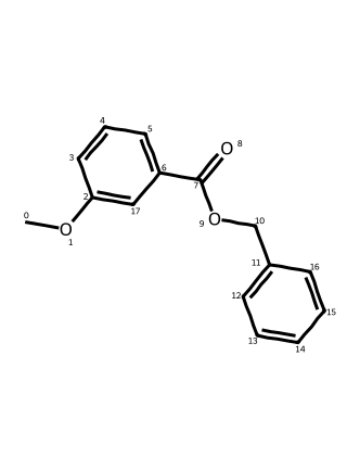 COc1cccc(C(=O)OCc2ccccc2)c1